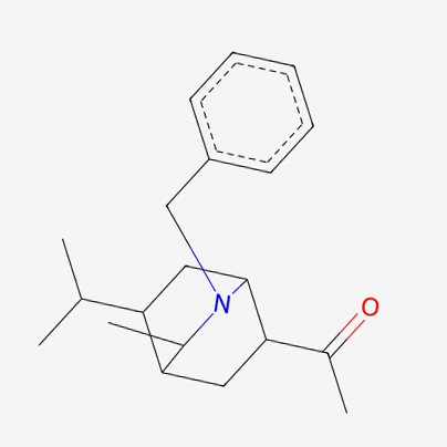 CC(=O)C1CC2C(C(C)C)CC1N(Cc1ccccc1)C2C